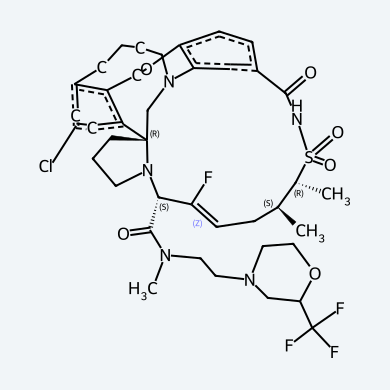 C[C@@H]1[C@@H](C)C/C=C(\F)[C@H](C(=O)N(C)CCN2CCOC(C(F)(F)F)C2)N2CCC[C@@]23CN2CCCCc4cc(Cl)cc3c4COc3ccc(cc32)C(=O)NS1(=O)=O